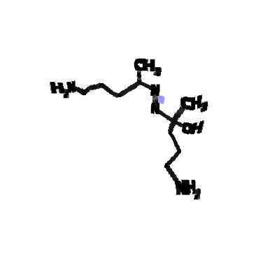 CC(CCCN)/N=N/C(C)(O)CCCN